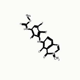 Cn1cnc2ccc(Nc3c(F)c(F)cc(NC(=O)OC(C)(C)C)c3F)c(Cl)c2c1=O